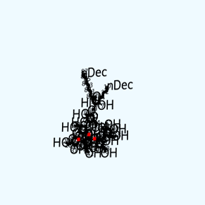 CCCCCCCCCCCCC/C=C/[C@@H](O)[C@H](CO[C@@H]1OC(CO)[C@@H](O[C@@H]2OC(CO)[C@H](O[C@@H]3OC(CO)[C@H](O)[C@H](O)C3NC(C)=O)[C@H](O[C@@H]3OC(CO)[C@@H](O[C@@H]4OC(CO)[C@H](O)[C@H](O[C@H]5OC(CO)[C@H](O)[C@H](O)C5O)C4O)[C@H](O)C3NC(C)=O)C2O)[C@H](O)C1O)NC(=O)CCCCCCCCCCCCCCCCC